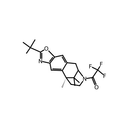 CC(C)(C)c1nc2cc3c(cc2o1)CC1N(C(=O)C(F)(F)F)CC[C@]3(C)C1(C)C